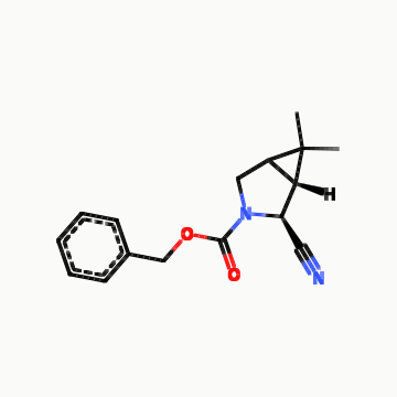 CC1(C)C2CN(C(=O)OCc3ccccc3)[C@H](C#N)[C@H]21